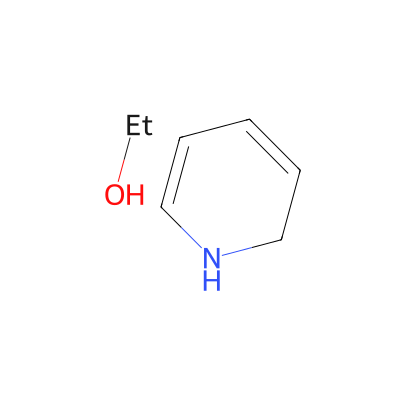 C1=CCNC=C1.CCO